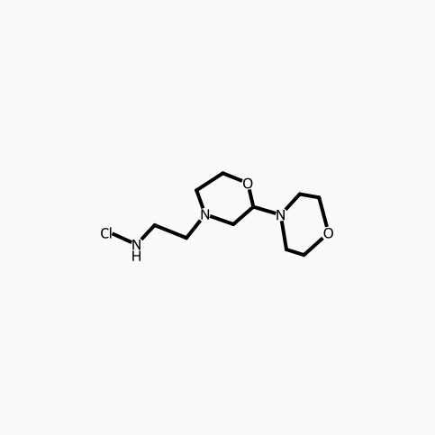 ClNCCN1CCOC(N2CCOCC2)C1